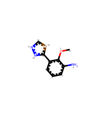 COc1c(N)cccc1-c1nncs1